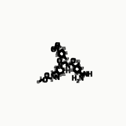 CCOC(=O)Cn1cc2c(n1)CCN(C(=O)[C@H](Cc1ccc([N+](=O)[O-])cc1)NC(=O)c1ccc(C(=N)N)cc1C)C2